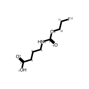 O=C(O)CCCNC(=O)OCCF